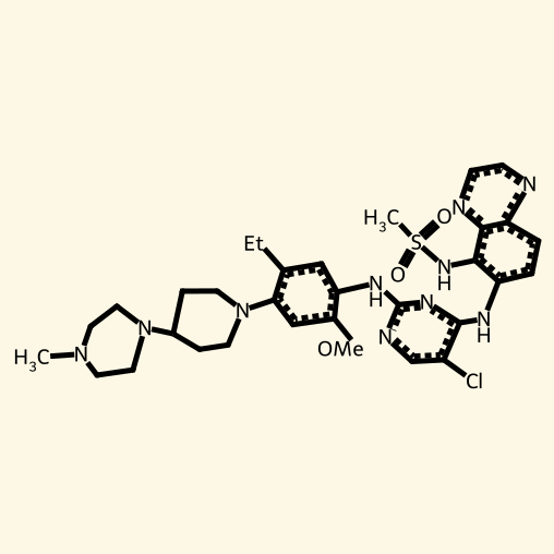 CCc1cc(Nc2ncc(Cl)c(Nc3ccc4nccnc4c3NS(C)(=O)=O)n2)c(OC)cc1N1CCC(N2CCN(C)CC2)CC1